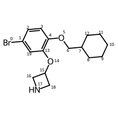 Brc1ccc(OCC2CCCCC2)c(OC2CNC2)c1